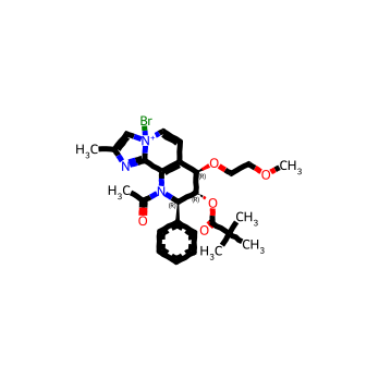 COCCO[C@@H]1C2=C(C3=NC(C)=C[N+]3(Br)C=C2)N(C(C)=O)[C@H](c2ccccc2)[C@H]1OC(=O)C(C)(C)C